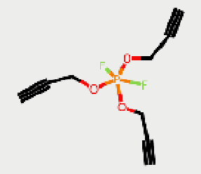 C#CCOP(F)(F)(OCC#C)OCC#C